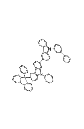 c1ccc(-c2cccc(-n3c4ccccc4c4cc(-c5ccc6c7cc(C8(c9ccccc9)c9ccccc9-c9ccccc98)ccc7n(-c7ccccc7)c6c5)ccc43)c2)cc1